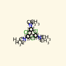 CCN(CC)c1ccc(C(c2ccc(N(CC)CC)cc2Cl)c2ccc(N(CC)CC)cc2Cl)c(Cl)c1